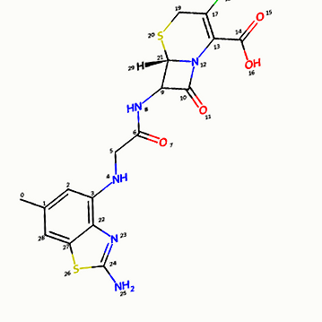 Cc1cc(NCC(=O)NC2C(=O)N3C(C(=O)O)=C(Cl)CS[C@@H]23)c2nc(N)sc2c1